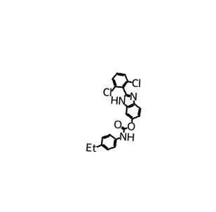 CCc1ccc(NC(=O)Oc2ccc3nc(-c4c(Cl)cccc4Cl)[nH]c3c2)cc1